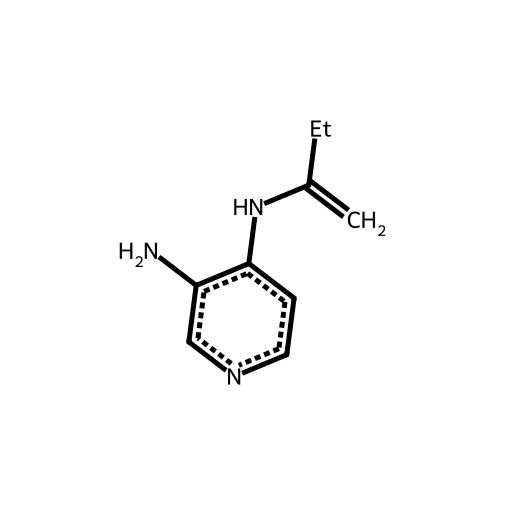 C=C(CC)Nc1ccncc1N